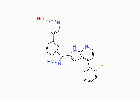 Oc1cncc(-c2ccc3[nH]nc(-c4cc5c(-c6ccccc6F)ccnc5[nH]4)c3c2)c1